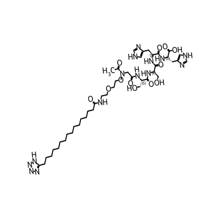 CC(=O)N(CC(=O)N[C@@H](CO)C(=O)N[C@H](CO)C(=O)N[C@@H](Cc1c[nH]cn1)C(=O)N[C@@H](Cc1c[nH]cn1)C(=O)O)OCCOCCNC(=O)CCCCCCCCCCCCCCCc1nnn[nH]1